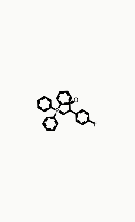 O=CC(C=P(c1ccccc1)(c1ccccc1)c1ccccc1)c1ccc(F)cc1